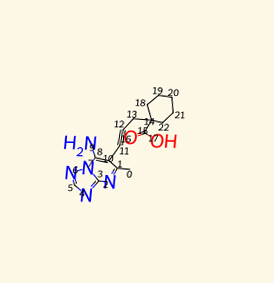 Cc1nc2ncnn2c(N)c1C#CCC1(C(=O)O)CCCCC1